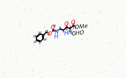 COC(=O)C(NC=O)C(=O)CCNC(=O)OCc1ccccc1